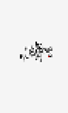 Cc1nnc2nc(NC(C)c3cc(N)cc(C(F)(F)F)c3)c3c(n12)CN(C(=O)C12CC(C1)C2)C3